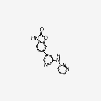 O=c1[nH]c2ccc(-c3cncc(Nc4cccnn4)c3)cc2o1